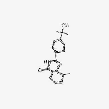 Cc1cccc2c(=O)[nH]c(-c3ccc(C(C)(C)O)cc3)nc12